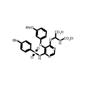 CCOC(=O)NC(Oc1ncnc(NS(=O)(=O)c2ccc(C(C)(C)C)cc2)c1Oc1cccc(OC)c1)C(=O)O